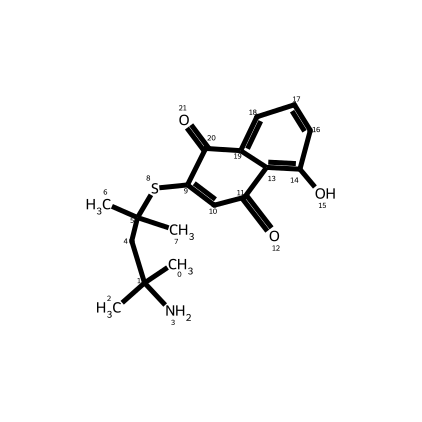 CC(C)(N)CC(C)(C)SC1=CC(=O)c2c(O)cccc2C1=O